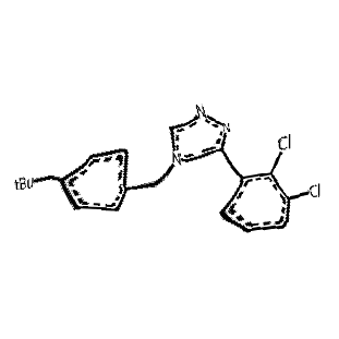 CC(C)(C)c1ccc(Cn2cnnc2-c2cccc(Cl)c2Cl)cc1